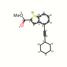 COC(=O)c1cc2c(C#CC3CCCCC3)cccc2s1